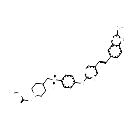 CC(C)(C)OC(=O)ON1CCC(CS(=O)(=O)c2ccc(Nc3ncc(C=Cc4ccc5nc(N)sc5c4)cn3)cc2)CC1